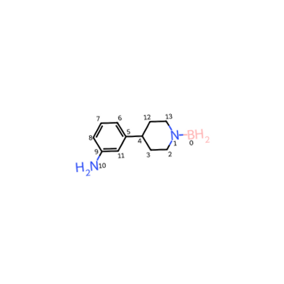 BN1CCC(c2cccc(N)c2)CC1